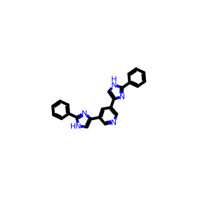 c1ccc(-c2nc(-c3cncc(-c4c[nH]c(-c5ccccc5)n4)c3)c[nH]2)cc1